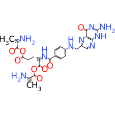 C[C@H](N)C(=O)OC(=O)CC[C@H](NC(=O)c1ccc(NCc2cnc3[nH]c(N)nc(=O)c3n2)cc1)C(=O)OC(=O)[C@H](C)N